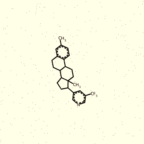 Cc1ccc2c(c1)CCC1C2CCC2(C)C(c3cncc(C(F)(F)F)c3)CCC12